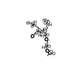 Cc1cc(=O)oc2cc(NC(=O)OCc3ccc(NC(=O)[C@H](CCCCNC(=O)OC(C)(C)C)NC(=O)[C@H](CCCCNC(=O)OC(C)(C)C)NC(=O)OCc4ccccc4)cc3)ccc12